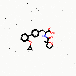 CC1(C(=O)N[C@@H](Cc2ccc(-c3ccccc3OC3CC3)cc2)C(=O)O)CCCO1